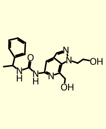 CC(NC(=O)Nc1cc2cnn(CCO)c2c(CO)n1)c1ccccc1